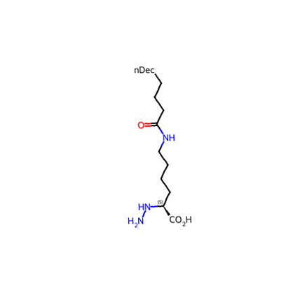 CCCCCCCCCCCCCC(=O)NCCCC[C@H](NN)C(=O)O